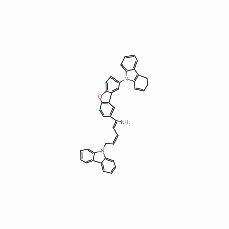 N/C(=C\C=C/Cn1c2ccccc2c2ccccc21)c1ccc2oc3ccc(-n4c5c(c6ccccc64)CCC=C5)cc3c2c1